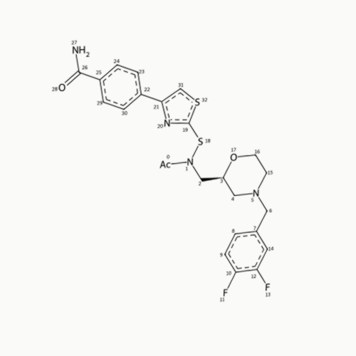 CC(=O)N(C[C@@H]1CN(Cc2ccc(F)c(F)c2)CCO1)Sc1nc(-c2ccc(C(N)=O)cc2)cs1